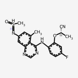 Cc1cc(/N=[SH](\C)=O)cc2ncnc(Nc3ccc(F)cc3O[C@@H](C)C#N)c12